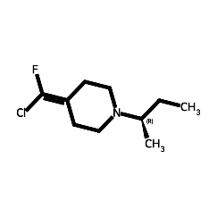 CC[C@@H](C)N1CCC(=C(F)Cl)CC1